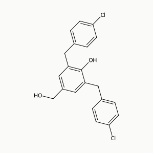 OCc1cc(Cc2ccc(Cl)cc2)c(O)c(Cc2ccc(Cl)cc2)c1